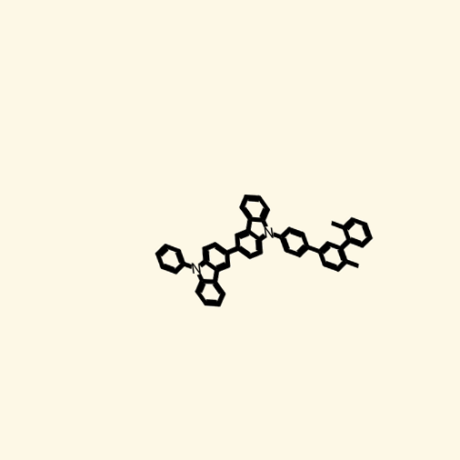 Cc1ccccc1-c1cc(-c2ccc(-n3c4ccccc4c4cc(-c5ccc6c(c5)c5ccccc5n6-c5ccccc5)ccc43)cc2)ccc1C